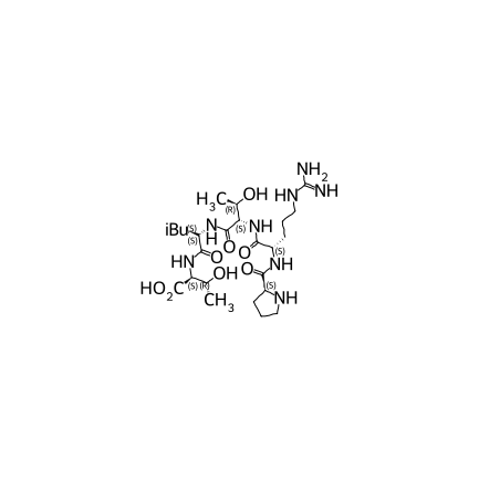 CC[C@H](C)[C@H](NC(=O)[C@@H](NC(=O)[C@H](CCCNC(=N)N)NC(=O)[C@@H]1CCCN1)[C@@H](C)O)C(=O)N[C@H](C(=O)O)[C@@H](C)O